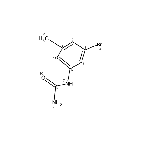 Cc1cc(Br)cc(NC(N)=O)c1